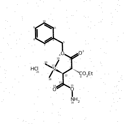 CCOC(=O)[C@@H](C(=O)OCc1ccccc1)[C@@H](C(=O)ON)[Si](C)(C)C.Cl